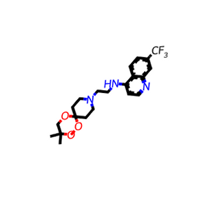 CC1(C)COC2(CCN(CCNc3ccnc4cc(C(F)(F)F)ccc34)CC2)OO1